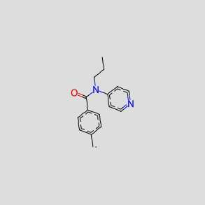 [CH2]c1ccc(C(=O)N(CCC)c2ccncc2)cc1